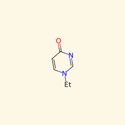 CCn1ccc(=O)nc1